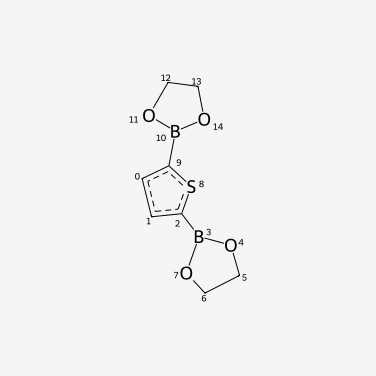 c1cc(B2OCCO2)sc1B1OCCO1